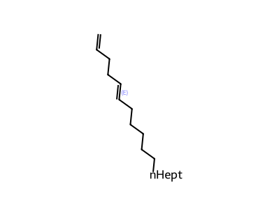 C=CCC/C=C/CCCCCCCCCCCC